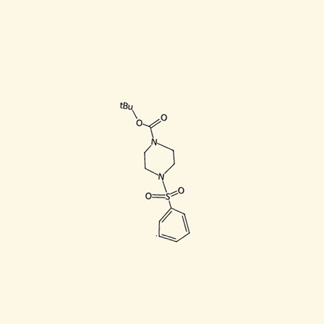 CC(C)(C)OC(=O)N1CCN(S(=O)(=O)c2c[c]ccc2)CC1